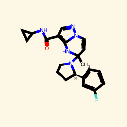 CC1(N2CCC[C@@H]2c2cccc(F)c2)C=Cn2ncc(C(=O)NC3CC3)c2N1